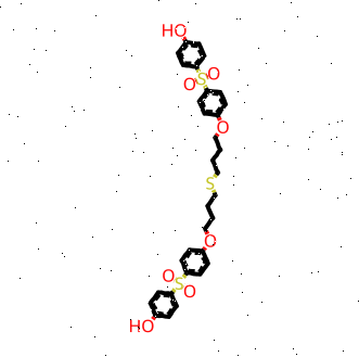 O=S(=O)(c1ccc(O)cc1)c1ccc(OCCCCSCCCCOc2ccc(S(=O)(=O)c3ccc(O)cc3)cc2)cc1